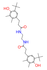 Cc1c(CCC(=O)NCCNC(=O)CCc2cc(C(C)(C)C)c(O)c(C)c2C)cc(C(C)(C)C)c(O)c1C